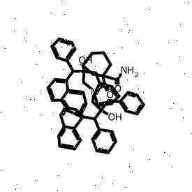 NC(=O)C1(C(=O)N(CC(O)(Cc2ccccc2)C(c2ccccc2)c2cccc3ccccc23)CC(O)(Cc2ccccc2)C(c2ccccc2)c2cccc3ccccc23)CCCCC1